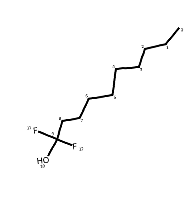 CCCCCCCCCC(O)(F)F